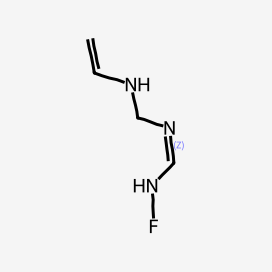 C=CNC/N=C\NF